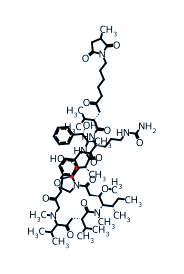 CC[C@H](C)[C@@H]([C@@H](CC(=O)N1CCC[C@H]1[C@H](CO)[C@@H](C)C(=O)N[C@H](C)[C@@H](O)c1ccccc1)OC)N(C)C(=O)[C@@H](CC(=O)C(C(C)C)N(C)CC(=O)COc1ccc(CC(=O)[C@H](CCCNC(N)=O)NC(=O)[C@@H](CC(=O)CCCCCN2C(=O)CC(C)C2=O)C(C)C)cc1)C(C)C